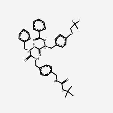 CC(C)(C)OC(=O)NCc1ccc(CNC(=O)[C@H](Cc2ccccc2)NC(=O)[C@H](Cc2ccc(OCC(F)(F)F)cc2)NC(=O)c2ccccc2)cc1